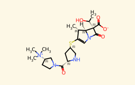 CC(O)[C@]1(C(=O)[O-])C(=O)N2C=C(S[C@@H]3CN[C@H](C(=O)N4CC[C@H]([N+](C)(C)C)C4)C3)[C@H](C)[C@H]21